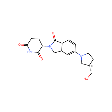 O=C1CCC(N2CC3C=C(N4CC[C@H](CO)C4)C=CC3C2=O)C(=O)N1